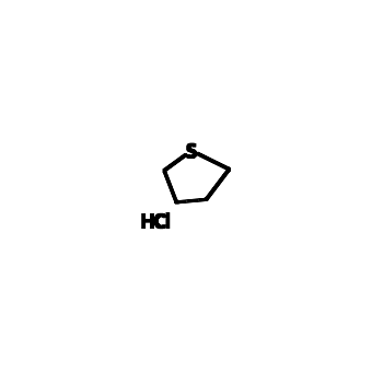 C1CCSC1.Cl